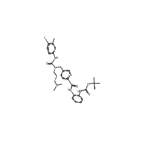 Cc1cc(NC(=O)N(CCCN(C)C)Cc2ccc(C(=O)Nc3ccccc3NC(=O)OC(C)(C)C)nc2)ccc1F